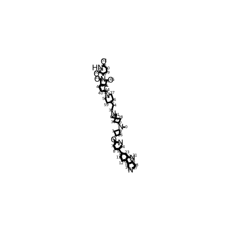 CN(C1CC(Oc2ccc(-c3ccc4c5cnccc5n(C)c4c3)cn2)C1)C1CC2(C1)CN(CCC1CCN(c3ccc4c(c3)C(=O)N(C3CCC(=O)NC3=O)C4=O)CC1)C2